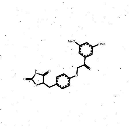 COc1cc(OC)cc(C(=O)COc2ccc(CC3SC(=O)NC3=O)cc2)c1